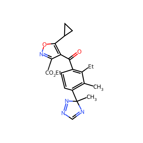 CCOC(=O)c1noc(C2CC2)c1C(=O)c1ccc(C2(C)N=CN=N2)c(C)c1CC